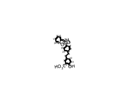 O=C(O)c1cc(CCc2ccc(S(=O)(=O)Nc3ccccn3)cc2)ccc1O